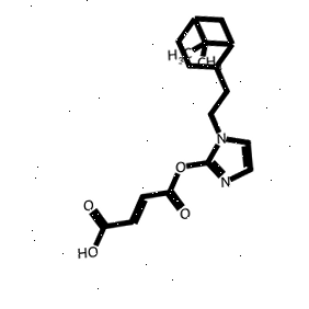 CC1(C)C2CCC(CCn3ccnc3OC(=O)/C=C/C(=O)O)C1C2